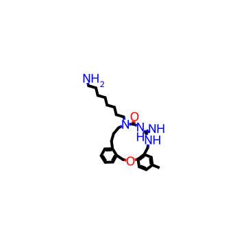 Cc1ccc2c(c1)CNC(=N)NC(=O)N(CCCCCCCCN)CCCc1ccccc1CO2